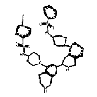 O=S(=O)(NC1CCN(c2cc(C3Cc4c(cccc4N4CCC(NS(=O)(=O)c5ccccc5)CC4)CN3)cc3c2CCNC3)CC1)c1ccc(F)cc1